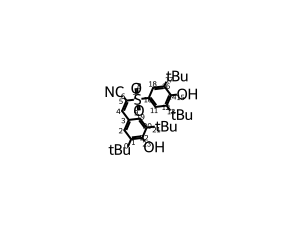 CC(C)(C)c1cc(C=C(C#N)S(=O)(=O)c2cc(C(C)(C)C)c(O)c(C(C)(C)C)c2)cc(C(C)(C)C)c1O